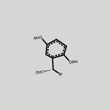 COc1ccc(OC)c([C@H](Br)C=O)c1